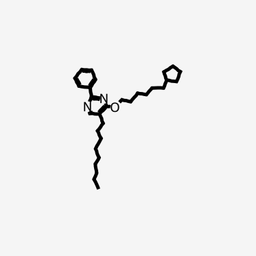 CCCCCCCCCc1cnc(-c2ccccc2)nc1OCCCCCCC1CCCC1